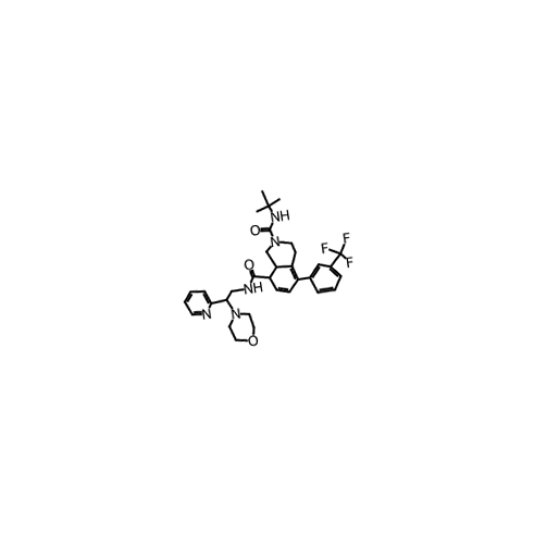 CC(C)(C)NC(=O)N1CCC2=C(c3cccc(C(F)(F)F)c3)C=CC(C(=O)NCC(c3ccccn3)N3CCOCC3)C2C1